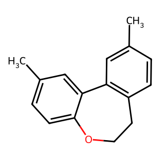 Cc1ccc2c(c1)-c1cc(C)ccc1OCC2